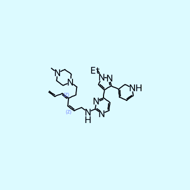 C=C/C=C(\C=C/CNc1nccc(-c2cn(CC)nc2C2=CC=CNC2)n1)CCN1CCN(C)CC1